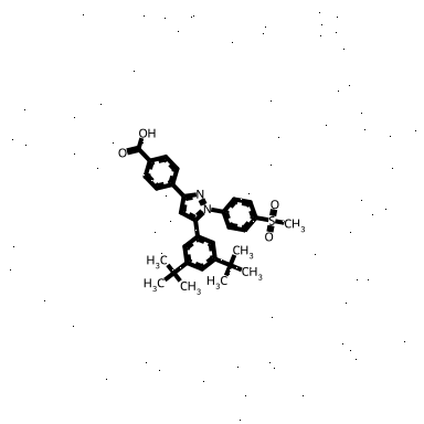 CC(C)(C)c1cc(-c2cc(-c3ccc(C(=O)O)cc3)nn2-c2ccc(S(C)(=O)=O)cc2)cc(C(C)(C)C)c1